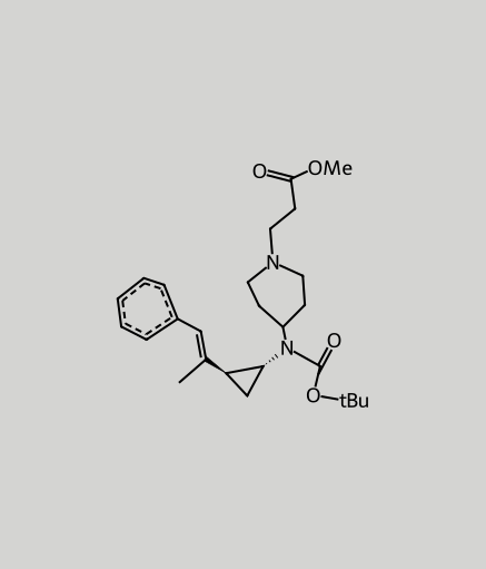 COC(=O)CCN1CCC(N(C(=O)OC(C)(C)C)[C@@H]2C[C@H]2C(C)=Cc2ccccc2)CC1